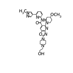 COC1CCN(c2nc3nc(N4CCN(CCO)CC4)oc3cc2C(=O)Nc2cccc(-c3cnn(C)c3)n2)CC1